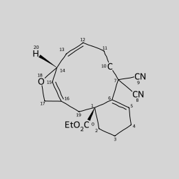 CCOC(=O)[C@]12CCCC=C1C(C#N)(C#N)CC/C=C\[C@@H]1C=C(CO1)C2